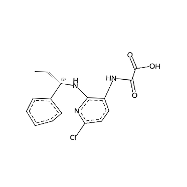 CC[C@H](Nc1nc(Cl)ccc1NC(=O)C(=O)O)c1ccccc1